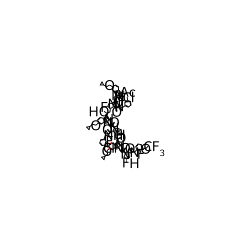 CC(=O)c1nn(CC(=O)N2C[C@H](F)C(CC(O)c3nn(CC(=O)N4C5C[C@@H]5C(CC(=O)c5nn(CC(=O)N6C[C@H](F)C[C@H]6C(=O)Nc6cccc(OC(F)(F)F)c6F)c6cc(OCC7CC7)ccc56)[C@H]4C(=O)NCc4cccc(Cl)c4F)c4cc(OCC5CC5)ccc34)[C@H]2C(=O)NCc2cccc(Cl)c2F)c2cc(OCC3CC3)ccc12